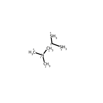 CN(C)C.[SiH3][CH][SiH3]